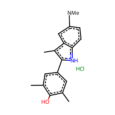 CNc1ccc2[nH]c(-c3cc(C)c(O)c(C)c3)c(C)c2c1.Cl